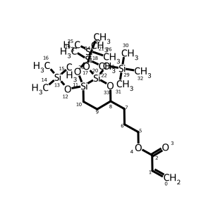 C=CC(=O)OCCCC1CC[Si](O[Si](C)(C)C)(O[Si](C)(C)C)[Si](O[Si](C)(C)C)(O[Si](C)(C)C)O1